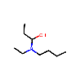 CCCCN(CC)C(O)CC